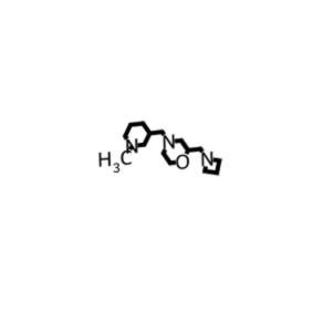 CN1CCCC(CN2CCOC(CN3CCC3)C2)C1